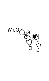 COc1ccc(S(=O)(=O)Nc2ccc(Cl)cc2-c2nncn2[C@H]2CCNC2)cc1